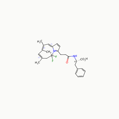 C/C1=C/C(C)=C(C)/C=C2/C=CC(CCC(=O)N[C@@H](Cc3ccccc3)C(=O)O)=[N+]2[B-](F)(F)C1